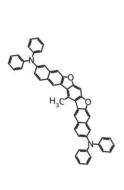 Cc1c2c(cc3oc4cc5cc(N(c6ccccc6)c6ccccc6)ccc5cc4c13)oc1cc3cc(N(c4ccccc4)c4ccccc4)ccc3cc12